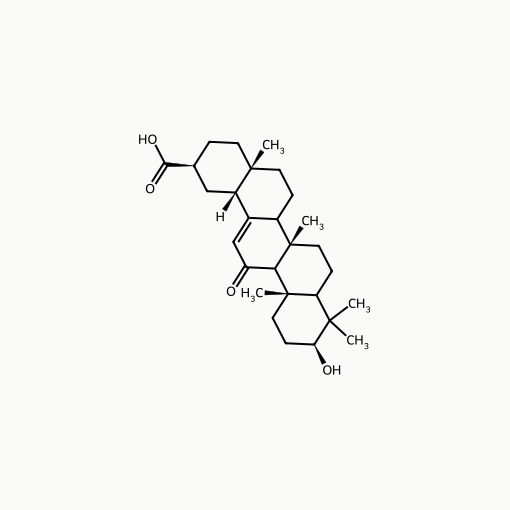 CC1(C)C2CC[C@@]3(C)C4CC[C@@]5(C)CC[C@H](C(=O)O)C[C@H]5C4=CC(=O)C3[C@@]2(C)CC[C@@H]1O